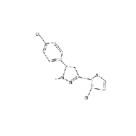 CN1N=C(c2sccc2Cl)CC1c1ccc(Cl)cc1